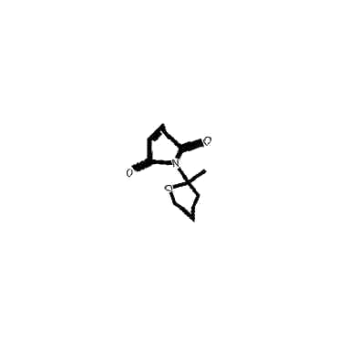 CC1(N2C(=O)C=CC2=O)CCCO1